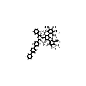 Bc1c(B)c(B)c(-c2c(B)c(-c3nc(-c4ccccc4)nc(-c4ccc(-c5ccc(-c6ccccc6)cc5)cc4)n3)c(B)c3c2oc2c(B)c(B)c(B)c(B)c23)c(B)c1B